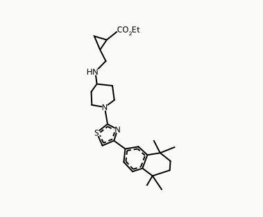 CCOC(=O)C1CC1CNC1CCN(c2nc(-c3ccc4c(c3)C(C)(C)CCC4(C)C)cs2)CC1